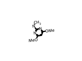 C=Nc1nc(OC)cc(OC)n1